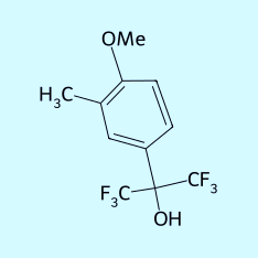 COc1ccc(C(O)(C(F)(F)F)C(F)(F)F)cc1C